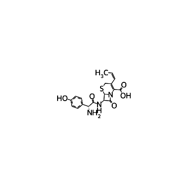 C/C=C\C1=C(C(=O)O)N2C(=O)C(NC(=O)[C@H](N)c3ccc(O)cc3)C2SC1